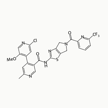 COc1cnc(Cl)cc1-c1cc(C)ncc1C(=O)Nc1nc2c(s1)CN(C(=O)c1cccc(C(F)(F)F)n1)C2